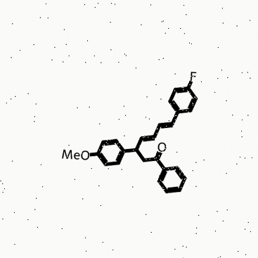 COc1ccc(C(/C=C/C=C/c2ccc(F)cc2)CC(=O)c2ccccc2)cc1